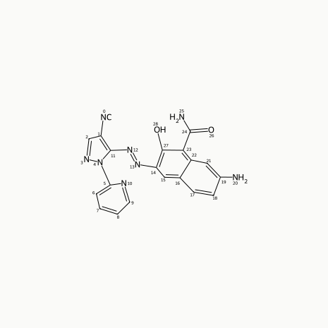 [C-]#[N+]c1cnn(-c2ccccn2)c1/N=N/c1cc2ccc(N)cc2c(C(N)=O)c1O